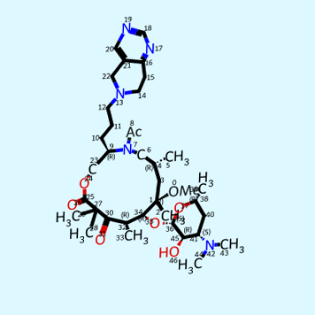 CO[C@]1(C)C[C@@H](C)CN(C(C)=O)[C@H](CCCN2CCc3ncncc3C2)COC(=O)C(C)(C)C(=O)[C@H](C)[C@H]1O[C@@H]1O[C@H](C)C[C@H](N(C)C)[C@H]1O